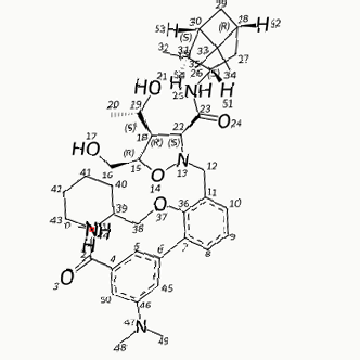 CNC(=O)c1cc(-c2cccc(CN3O[C@@H](CO)[C@@H]([C@H](C)O)[C@H]3C(=O)N[C@H]3C[C@H]4C[C@@H]([C@@H]3C)C4(C)C)c2OCC2CCCCN2)cc(N(C)C)c1